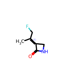 C/C(CF)=C1/CNC1=O